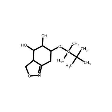 CC(C)(C)[Si](C)(C)OC1CC2=NOCC2C(O)C1O